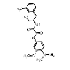 C=Nc1cc(NC(=O)C(=O)NC(CO)Cc2cccc(C)c2)ccc1N(C)C